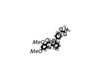 COc1cc(OC)c2c(=O)[nH]c(-c3ncccc3NC3CCN(C(=O)C(=O)N(C)C)CC3)nc2c1